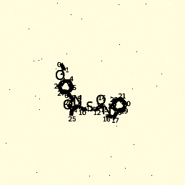 CCOc1ccc(-c2nc(CSCC(=O)N3CCc4ccccc43)c(C)o2)cc1